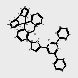 C1=C(c2cc(-c3ccccc3)nc(-c3ccccc3)n2)OC(c2cccc3c2Oc2ccccc2C32c3ccccc3-c3ccccc32)C1